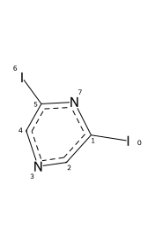 Ic1cncc(I)n1